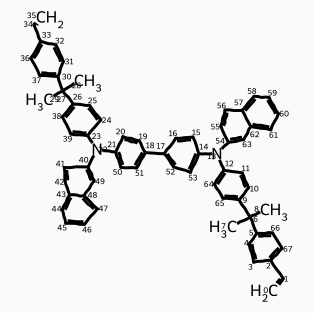 C=Cc1ccc(C(C)(C)c2ccc(N(c3ccc(-c4ccc(N(c5ccc(C(C)(C)c6ccc(C=C)cc6)cc5)c5ccc6ccccc6c5)cc4)cc3)c3ccc4ccccc4c3)cc2)cc1